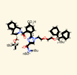 CCCCN(CCCC)C(=O)c1cn(CCOCCO[Si](c2ccccc2)(c2ccccc2)C(C)(C)C)c(-c2ccc(C(=O)O)cc2C(=O)N2Cc3ccccc3C[C@H]2CO[Si](C)(C)C(C)(C)C)n1